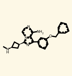 CN[C@H]1C[C@@H](c2nc(-c3cccc(OCc4ccccc4)c3)c3c(N)nccn32)C1